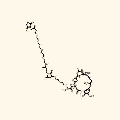 COc1cc2cc(c1Cl)N(C)C(=O)C[C@H](CC(=O)[C@H](C)OCCOCCSC1CC(=O)N(CCC(=O)NCCOCCOCCOCCOCCC(=O)ON3C(=O)CCC3=O)C1=O)[C@@]1(C)CC(C)(O1)C1C[C@@](O)(NC(=O)O1)[C@H](OC)/C=C/C=C(\C)C2